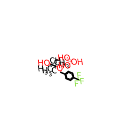 CC(C)(O)C(C)(C)OCc1ccc(C(F)(F)F)cc1.OB(O)O